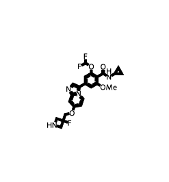 COc1cc(-c2cnc3cc(OCC4(F)CNC4)ccn23)cc(OC(F)F)c1C(=O)NC1CC1